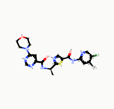 C[C@@H](NC(=O)c1cc(N2CCOCC2)ncn1)c1ncc(C(=O)Nc2cc(C(F)(F)F)c(Cl)cn2)s1